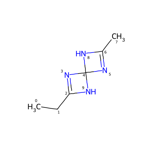 CCC1=NC2(N=C(C)N2)N1